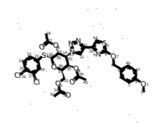 COc1ccc(COc2nc(-c3cn([C@@H]4[C@@H](OC(C)=O)[C@@H](Sc5ccc(Cl)c(Cl)c5)O[C@H](COC(C)=O)[C@@H]4OC(C)=O)nn3)cs2)cc1